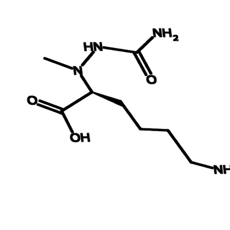 CN(NC(N)=O)[C@@H](CCCCN)C(=O)O